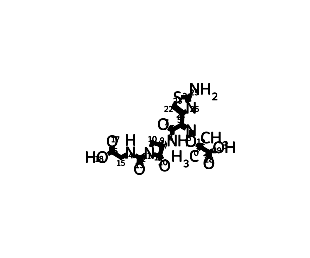 CC(C)(ON=C(C(=O)N[C@H]1CN(C(=O)NCC(=O)O)C1=O)c1csc(N)n1)C(=O)O